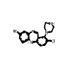 Clc1ccc2c(c1N1CCNCC1)C=Nc1cc(Br)ccc1N2